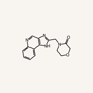 O=C1COCCN1Cc1nc2cnc3ccccc3c2[nH]1